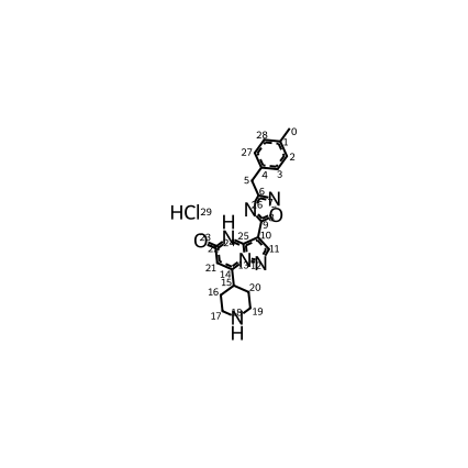 Cc1ccc(Cc2noc(-c3cnn4c(C5CCNCC5)cc(=O)[nH]c34)n2)cc1.Cl